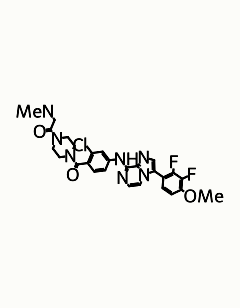 CNCC(=O)N1CCN(C(=O)c2ccc(Nc3nccn4c(-c5ccc(OC)c(F)c5F)cnc34)cc2Cl)CC1